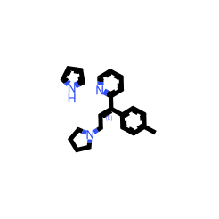 Cc1ccc(/C(=C\CN2CCCC2)c2ccccn2)cc1.c1cc[nH]c1